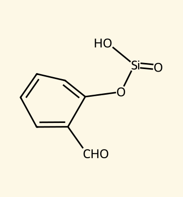 O=Cc1ccccc1O[Si](=O)O